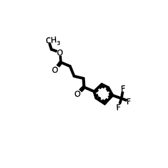 CCOC(=O)CCCC(=O)c1ccc(C(F)(F)F)cc1